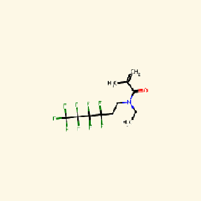 C=C(C)C(=O)N(CC)CCC(F)(F)C(F)(F)C(F)(F)C(F)(F)F